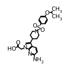 CC(C)Oc1ccc(S(=O)(=O)N2CCC(c3cn(CC(=O)O)c4nc(N)ccc34)CC2)cc1